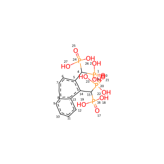 O=P(O)(O)C(c1ccc2ccccc2c1C(P(=O)(O)O)P(=O)(O)O)P(=O)(O)O